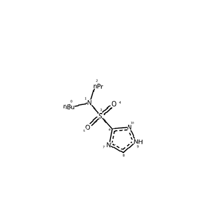 CCCCN(CCC)S(=O)(=O)c1nc[nH]n1